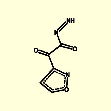 N=NC(=O)C(=O)c1ccon1